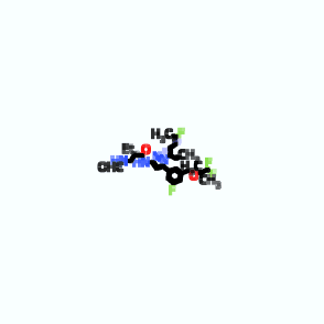 C=C/C(=C\C=C(/C)F)n1nc(NC(=O)[C@@H](CC)CNC=O)cc1-c1cc(F)cc(COC(C)(C)C(F)F)c1